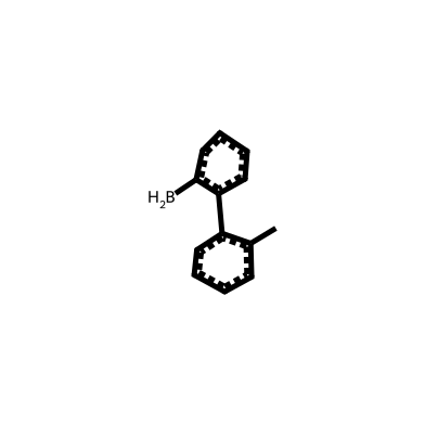 Bc1ccccc1-c1ccccc1C